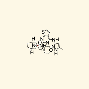 Cc1cc(Nc2nc(N[C@@H]3C[C@H]4CC[C@@H](C3)N4C(=O)CN3CCOCC3)nc3sccc23)n[nH]1